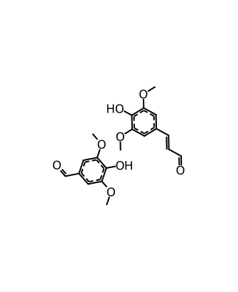 COc1cc(/C=C/C=O)cc(OC)c1O.COc1cc(C=O)cc(OC)c1O